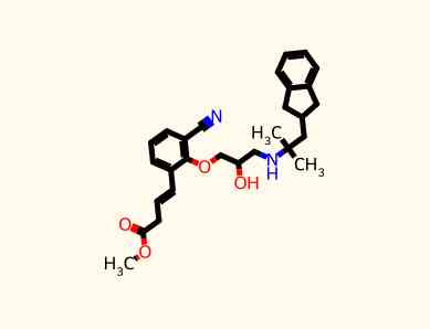 COC(=O)CC=Cc1cccc(C#N)c1OCC(O)CNC(C)(C)CC1Cc2ccccc2C1